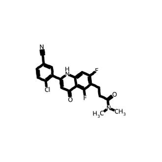 CN(C)C(=O)CCc1c(F)cc2[nH]c(-c3cc(C#N)ccc3Cl)cc(=O)c2c1F